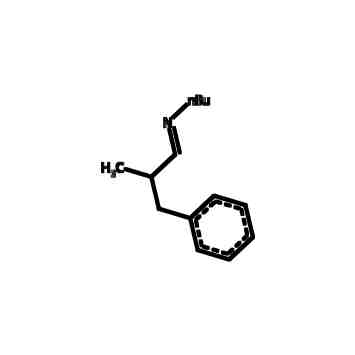 CCCCN=CC(C)Cc1ccccc1